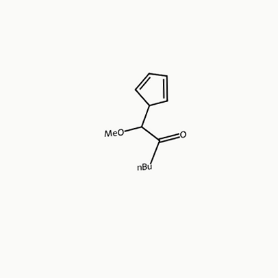 CCCCC(=O)C(OC)C1C=CC=C1